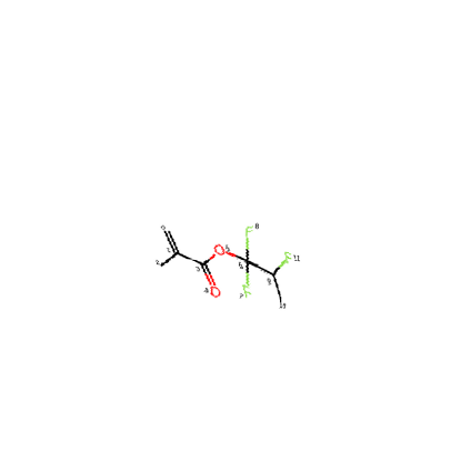 C=C(C)C(=O)OC(F)(F)C(C)F